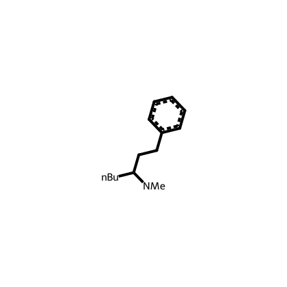 CCCCC(CCc1ccccc1)NC